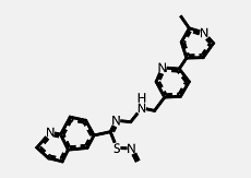 C=NS/C(=N\CNCc1ccc(-c2ccnc(C)c2)nc1)c1ccc2ncccc2c1